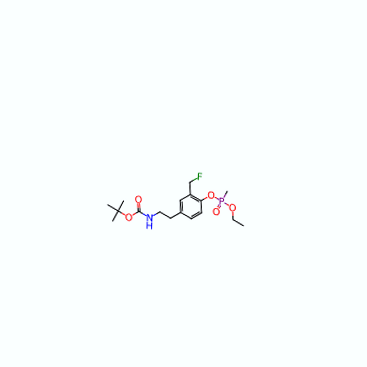 CCOP(C)(=O)Oc1ccc(CCNC(=O)OC(C)(C)C)cc1CF